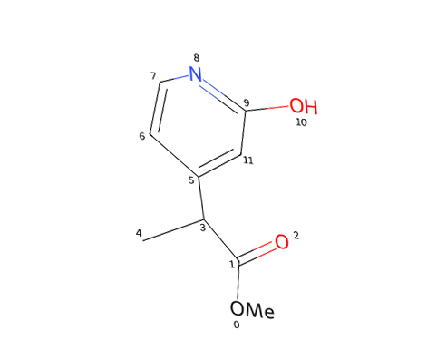 COC(=O)C(C)c1ccnc(O)c1